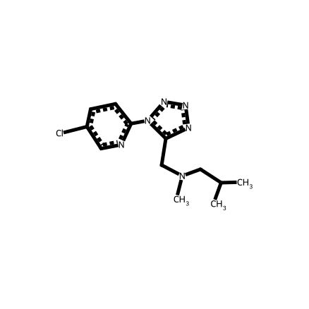 CC(C)CN(C)Cc1nnnn1-c1ccc(Cl)cn1